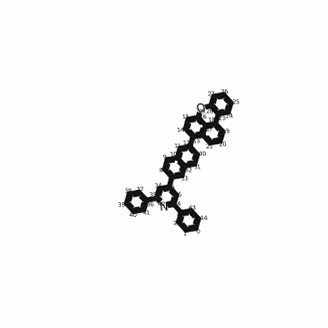 c1ccc(-c2cc(-c3ccc4cc(-c5ccc6c7c(cccc57)-c5ccccc5O6)ccc4c3)cc(-c3ccccc3)n2)cc1